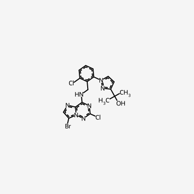 CC(C)(O)c1ccn(-c2cccc(Cl)c2CNc2nc(Cl)nn3c(Br)cnc23)n1